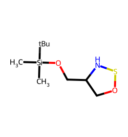 CC(C)(C)[Si](C)(C)OCC1COSN1